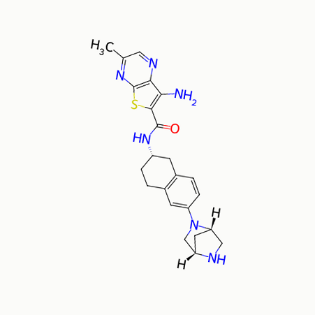 Cc1cnc2c(N)c(C(=O)N[C@H]3CCc4cc(N5C[C@@H]6C[C@H]5CN6)ccc4C3)sc2n1